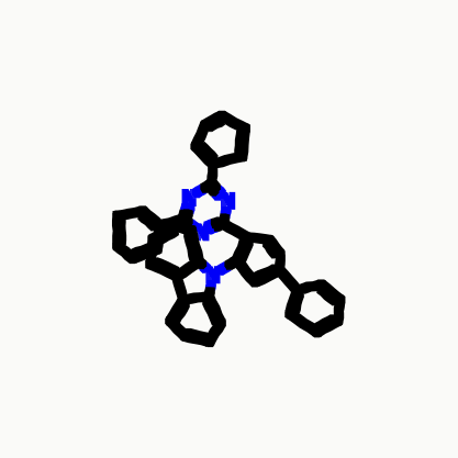 c1ccc(-c2ccc(-c3nc(-c4ccccc4)nc(-c4ccccc4)n3)c(-n3c4ccccc4c4ccccc43)c2)cc1